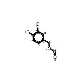 O=NOCc1ccc(F)c(F)c1